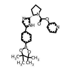 CC1(C)OB(c2ccc(-c3cnc([C@@H]4CCCN4C(=O)Oc4cccnc4)[nH]3)cc2)OC1(C)C